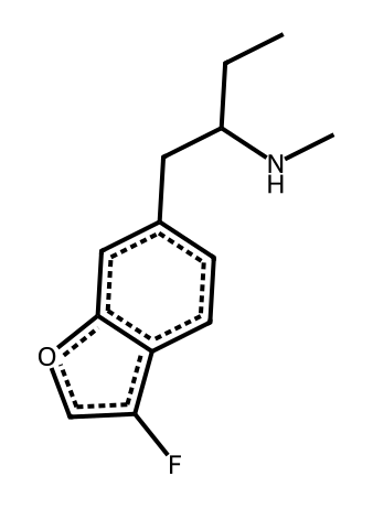 CCC(Cc1ccc2c(F)coc2c1)NC